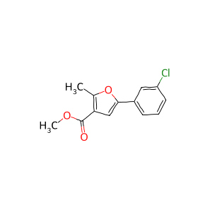 COC(=O)c1cc(-c2cccc(Cl)c2)oc1C